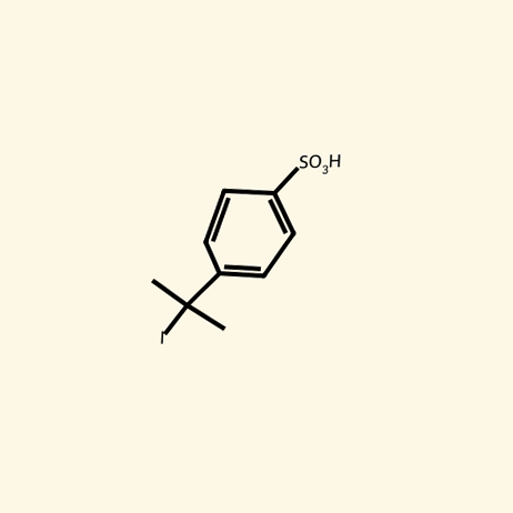 CC(C)(I)c1ccc(S(=O)(=O)O)cc1